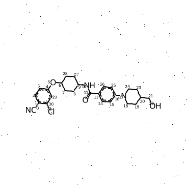 N#Cc1ccc(OC2CCC(NC(=O)c3ccc(N4CCC(CO)CC4)cc3)CC2)cc1Cl